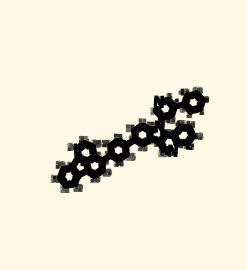 c1ccc(-c2cncc(-n3c4ccc(-c5ccc(-c6ccc7c8c(cccc68)-c6ccccc6-7)cc5)cc4c4cnc5ccccc5c43)c2)cc1